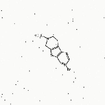 O=C(O)N1CCc2c(sc3cc(Br)ccc23)C1